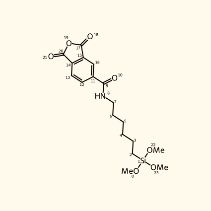 CO[Si](CCCCCCNC(=O)c1ccc2c(c1)C(=O)OC2=O)(OC)OC